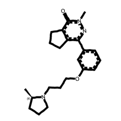 C[C@@H]1CCCN1CCCOc1cccc(-c2nn(C)c(=O)c3c2CCC3)c1